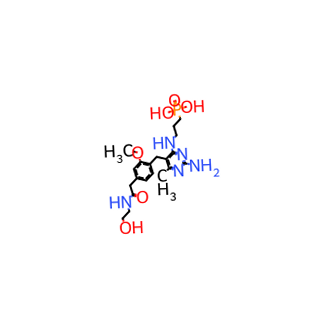 COc1cc(CC(=O)NCCO)ccc1Cc1c(C)nc(N)nc1NCCCP(=O)(O)O